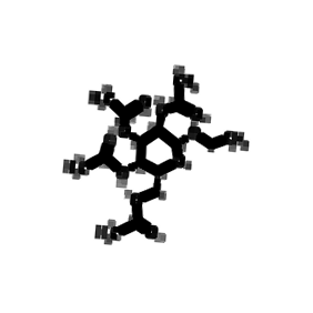 CCO[C@@H]1O[C@H](COC(C)=O)[C@H](OC(C)=O)[C@H](OC(C)=O)[C@H]1OC(C)=O